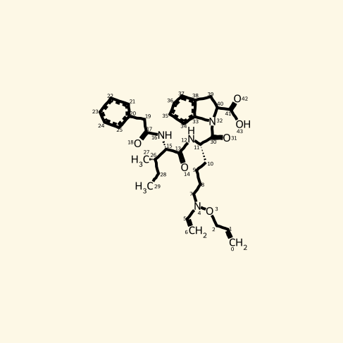 C=CCON(C=C)CCCC[C@H](NC(=O)[C@@H](NC(=O)Cc1ccccc1)[C@@H](C)CC)C(=O)N1c2ccccc2CC1C(=O)O